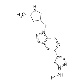 CC1CC(Cn2ccc3cc(-c4cnn(PI)c4)ncc32)CN1